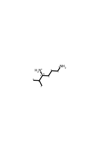 CC(C)[C@@H](N)CCCN